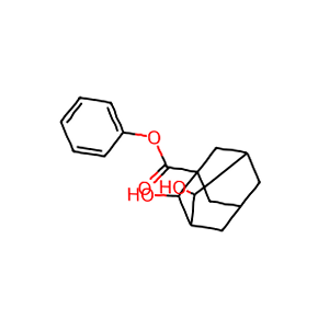 O=C(Oc1ccccc1)C12CC3CC(C1)C(O)C(C3)C2O